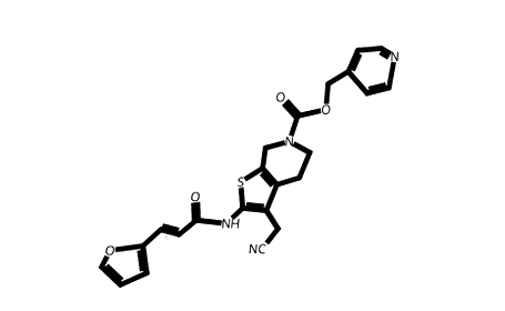 N#CCc1c(NC(=O)/C=C/c2ccco2)sc2c1CCN(C(=O)OCc1ccncc1)C2